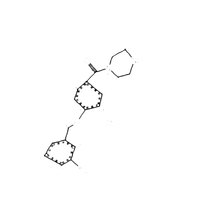 Cl.O=C(c1ccc(OCc2cccc(F)c2)cc1)N1CCNCC1